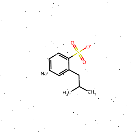 CC(C)Cc1ccccc1S(=O)(=O)[O-].[Na+]